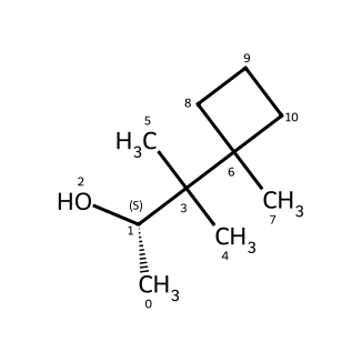 C[C@H](O)C(C)(C)C1(C)CCC1